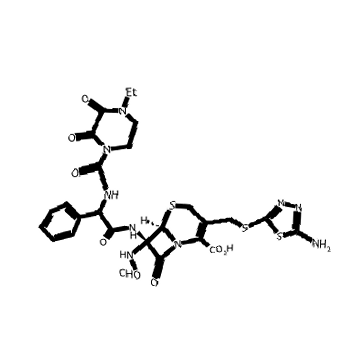 CCN1CCN(C(=O)NC(C(=O)N[C@]2(NC=O)C(=O)N3C(C(=O)O)=C(CSc4nnc(N)s4)CS[C@@H]32)c2ccccc2)C(=O)C1=O